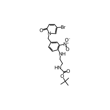 CC(C)(C)OC(=O)NCCNc1ccc(Cn2cc(Br)ccc2=O)cc1[N+](=O)[O-]